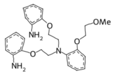 COCCOc1ccccc1N(CCOc1ccccc1N)CCOc1ccccc1N